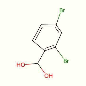 OC(O)c1ccc(Br)cc1Br